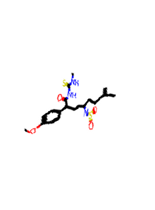 CNC(=S)NC(=O)C(CCC(CCC(C)C)N=S(=O)=O)c1ccc(OC)cc1